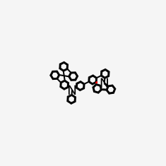 c1ccc(N(c2ccc(-c3ccc(-c4ccccc4-n4c5ccccc5c5ccccc54)cc3)cc2)c2ccc3c(c2)C2(c4ccccc4-c4ccccc42)c2ccccc2-3)cc1